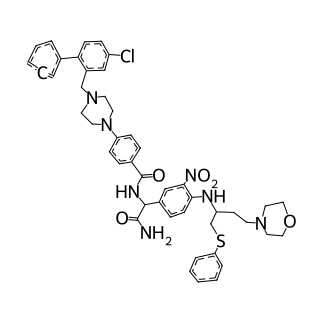 NC(=O)C(NC(=O)c1ccc(N2CCN(Cc3cc(Cl)ccc3-c3ccccc3)CC2)cc1)c1ccc(NC(CCN2CCOCC2)CSc2ccccc2)c([N+](=O)[O-])c1